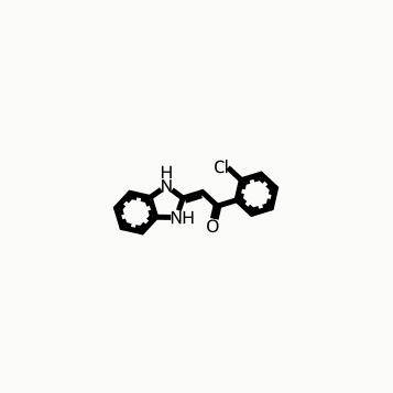 O=C(C=C1Nc2ccccc2N1)c1ccccc1Cl